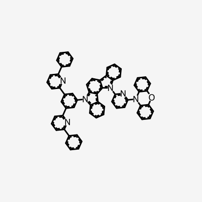 c1ccc(-c2cccc(-c3cc(-c4cccc(-c5ccccc5)n4)cc(-n4c5ccccc5c5c4ccc4c6ccccc6n(-c6cccc(N7c8ccccc8Oc8ccccc87)n6)c45)c3)n2)cc1